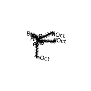 CCCCCCCC/C=C\CCCCCCCC(=O)OCC(COC(=O)CCCCCCC/C=C\CCCCCCCC)(COC(=O)CCCCCCC/C=C\CCCCCCCC)NC(=O)C1CCN(CC)CC1